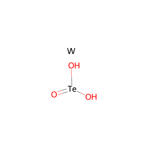 O=[Te](O)O.[W]